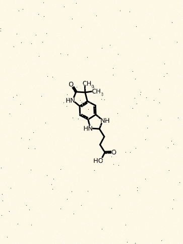 CC1(C)C(=O)Nc2cc3c(cc21)NC(CCC(=O)O)N3